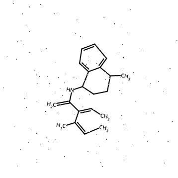 C=C(NC1CCC(C)c2ccccc21)C(=C/C)/C(C)=C\C